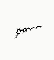 [CH2]CCCCCc1cc(-c2cccc(Cl)c2)co1